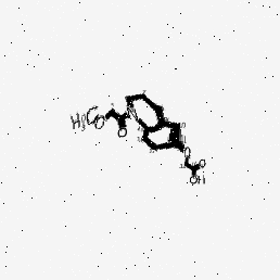 COCC(=O)N1CCCc2cc(OCC(=O)O)ccc21